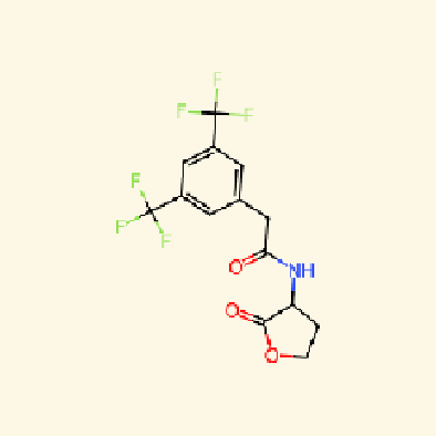 O=C(Cc1cc(C(F)(F)F)cc(C(F)(F)F)c1)NC1CCOC1=O